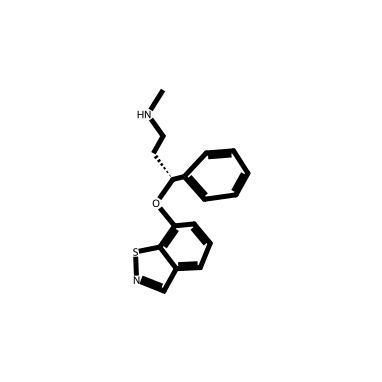 CNCC[C@@H](Oc1cccc2cnsc12)c1ccccc1